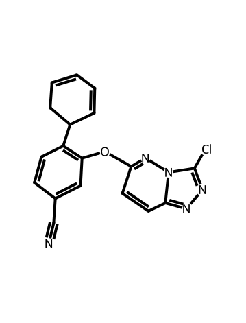 N#Cc1ccc(C2C=CC=CC2)c(Oc2ccc3nnc(Cl)n3n2)c1